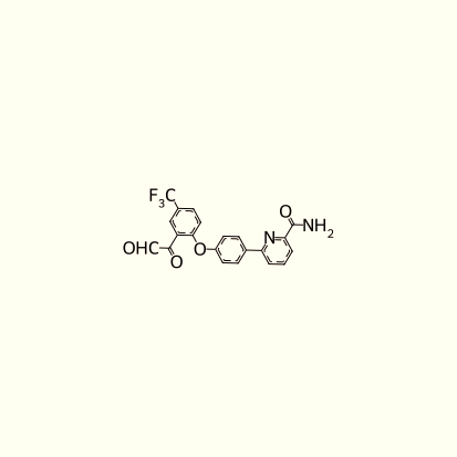 NC(=O)c1cccc(-c2ccc(Oc3ccc(C(F)(F)F)cc3C(=O)C=O)cc2)n1